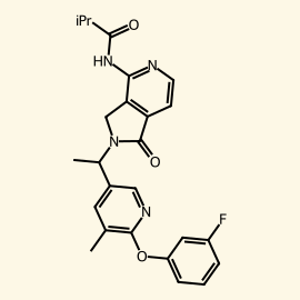 Cc1cc(C(C)N2Cc3c(ccnc3NC(=O)C(C)C)C2=O)cnc1Oc1cccc(F)c1